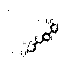 C=N/C=C\C(C)=C(\F)Cc1ccc(-c2ccnc(C)c2)nc1